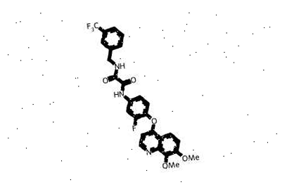 COc1ccc2c(Oc3ccc(NC(=O)C(=O)NCc4cccc(C(F)(F)F)c4)cc3F)ccnc2c1OC